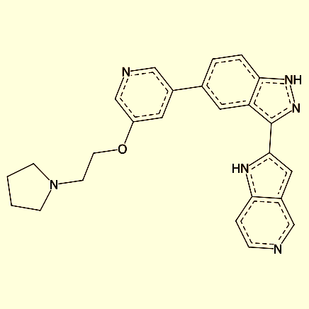 c1cc2[nH]c(-c3n[nH]c4ccc(-c5cncc(OCCN6CCCC6)c5)cc34)cc2cn1